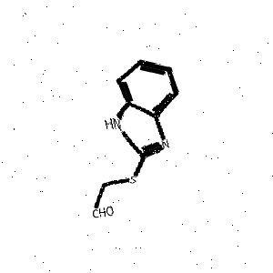 O=CCSc1nc2ccccc2[nH]1